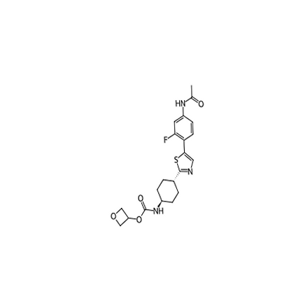 CC(=O)Nc1ccc(-c2cnc([C@H]3CC[C@H](NC(=O)OC4COC4)CC3)s2)c(F)c1